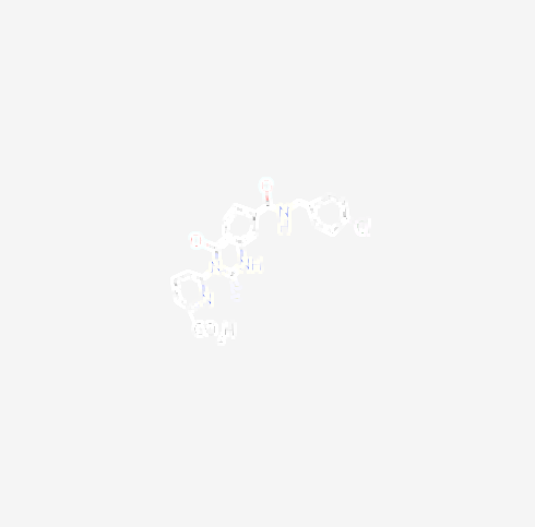 O=C(NCc1ccc(Cl)cc1)c1ccc2c(=O)n(-c3cccc(C(=O)O)n3)c(=S)[nH]c2c1